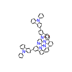 c1ccc(-c2cccc(-c3ccccc3)c2-c2nc(-n3c4ccccc4c4cc(-c5ccc6c(c5)c5ccccc5n6-c5ccccc5)ccc43)c3nccc(-n4c5ccccc5c5cc(-c6ccc7c(c6)c6ccccc6n7-c6ccccc6)ccc54)c3n2)cc1